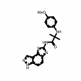 COc1ccc(NC(C)(C)C(=O)Nc2nc3ccc4[nH]ncc4c3s2)cc1